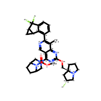 CC(C)(C)OC(=O)N1C2CCC1CN(c1nc(OC[C@@]34CCCN3C[C@H](F)C4)nc3c(C(F)(F)F)c(-c4cccc5c4C4CC4C5(F)F)ncc13)C2